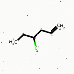 C=CCC(Cl)CC